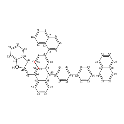 c1cc(-c2cccc3ccccc23)cc(N(c2ccc(-c3ccc(-c4cccc5ccccc45)cc3)cc2)c2ccccc2-c2ccc3c(c2)oc2ccccc23)c1